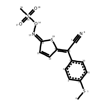 CSc1ccc(C(C#N)=C2C=CC(=NOS(C)(=O)=O)S2)cc1